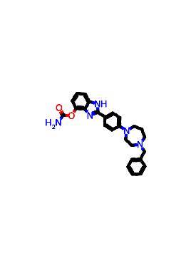 NC(=O)Oc1cccc2[nH]c(-c3ccc(N4CCCN(Cc5ccccc5)CC4)cc3)nc12